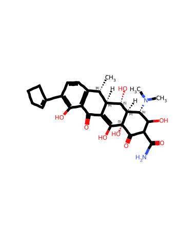 C[C@H]1c2ccc(C3=CCCC3)c(O)c2C(=O)C2=C(O)[C@]3(O)C(=O)C(C(N)=O)C(O)[C@@H](N(C)C)[C@@H]3[C@@H](O)[C@@H]21